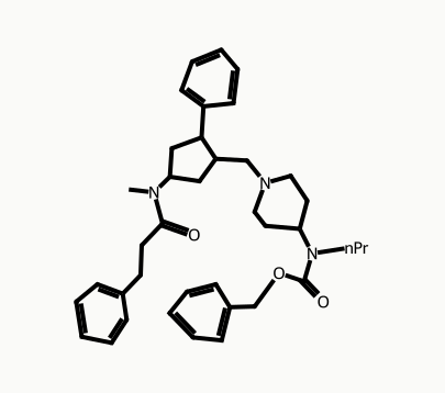 CCCN(C(=O)OCc1ccccc1)C1CCN(CC2CC(N(C)C(=O)CCc3ccccc3)CC2c2ccccc2)CC1